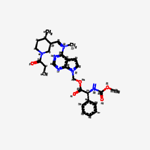 C[C@@H]1CCN(C(=O)CC#N)CC1/C=[N+](/C)c1ncnc2c1ccn2COC(=O)[C@@H](NC(=O)OC(C)(C)C)c1ccccc1